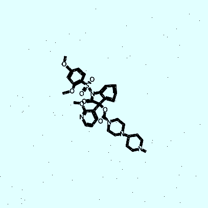 COc1ccc(S(=O)(=O)N2C(=O)C(OC(=O)N3CCN(C4CCN(C)CC4)CC3)(c3cccnc3OC)c3ccccc32)c(OC)c1